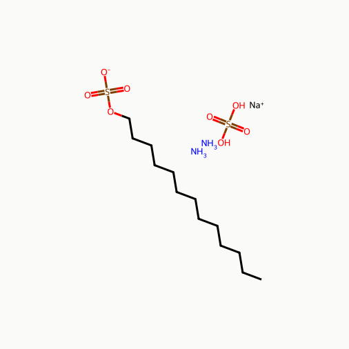 CCCCCCCCCCCCCOS(=O)(=O)[O-].N.N.O=S(=O)(O)O.[Na+]